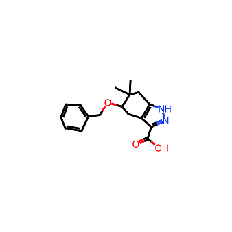 CC1(C)Cc2[nH]nc(C(=O)O)c2CC1OCc1ccccc1